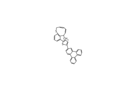 CC1/C=C\C=C/CSc2cccc(-c3ccc(-c4ccc5c6ccccc6c6ccccc6c5c4)s3)c21